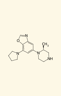 C[C@H]1CNCCN1c1cc(N2CCCC2)c2ocnc2c1